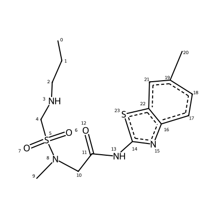 CCCNCS(=O)(=O)N(C)CC(=O)Nc1nc2ccc(C)cc2s1